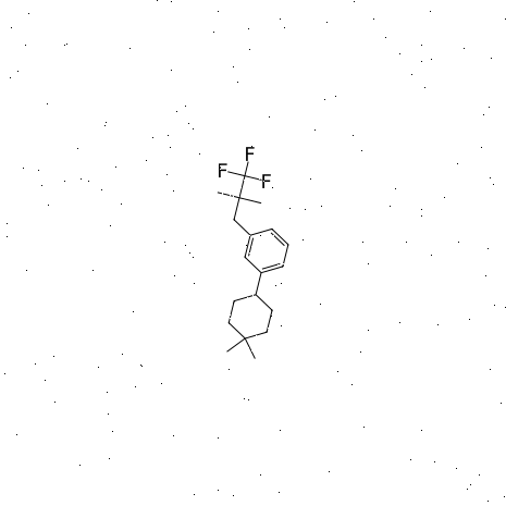 CC1(C)CCC(c2cccc(CC(C)(C)C(F)(F)F)c2)CC1